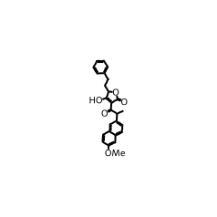 COc1ccc2cc(C(C)C(=O)C3=C(O)C(CCc4ccccc4)OC3=O)ccc2c1